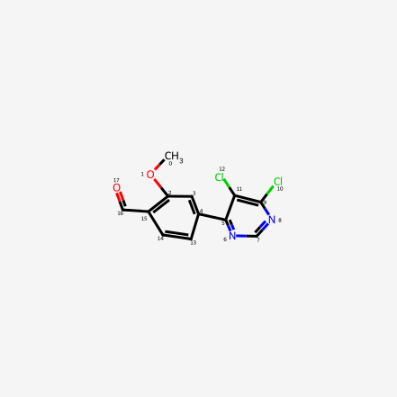 COc1cc(-c2ncnc(Cl)c2Cl)ccc1C=O